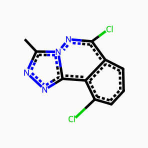 Cc1nnc2c3c(Cl)cccc3c(Cl)nn12